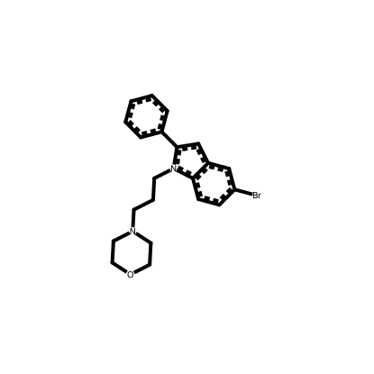 Brc1ccc2c(c1)cc(-c1ccccc1)n2CCCN1CCOCC1